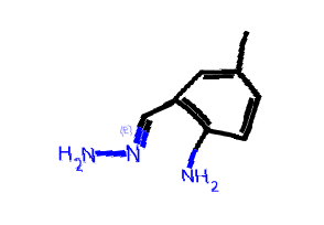 Cc1ccc(N)c(/C=N/N)c1